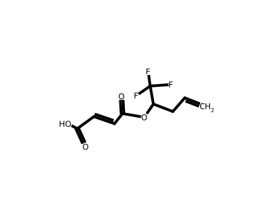 C=CCC(OC(=O)/C=C/C(=O)O)C(F)(F)F